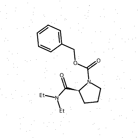 CCN(CC)C(=O)[C@@H]1CCCN1C(=O)OCc1ccccc1